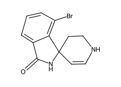 O=C1NC2(C=CNCC2)c2c(Br)cccc21